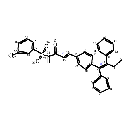 CC/C(=C(\c1ccccc1)c1ccc(/C=C/C(=O)NS(=O)(=O)c2cccc(Cl)c2)cc1)c1ccccc1